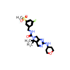 CC1(C)c2cnc(NC3CCOCC3)nc2CN1C(=O)NCc1cc(F)cc(S(C)(=O)=O)c1